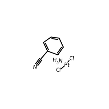 N.N#Cc1ccccc1.[Cl][Pt][Cl]